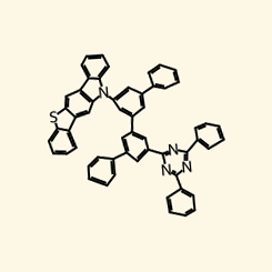 c1ccc(-c2cc(-c3cc(-c4ccccc4)cc(-n4c5ccccc5c5cc6sc7ccccc7c6cc54)c3)cc(-c3nc(-c4ccccc4)nc(-c4ccccc4)n3)c2)cc1